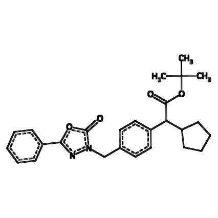 CC(C)(C)OC(=O)C(c1ccc(Cn2nc(-c3ccccc3)oc2=O)cc1)C1CCCC1